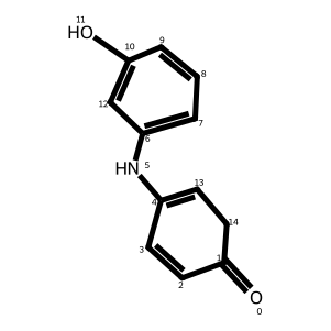 O=C1C=CC(Nc2cccc(O)c2)=CC1